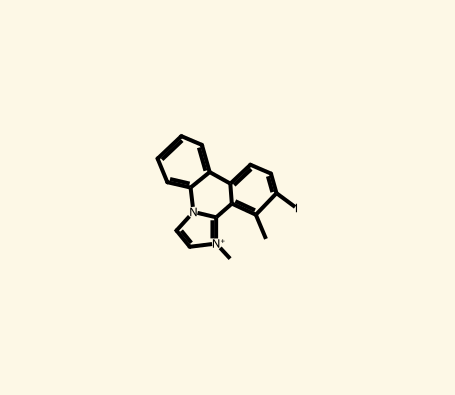 Cc1c(I)ccc2c3ccccc3n3cc[n+](C)c3c12